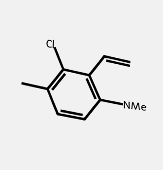 C=Cc1c(NC)ccc(C)c1Cl